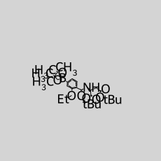 CCOc1cc(B2OC(C)(C)C(C)(C)O2)ccc1C(=O)NC(CC(=O)OC(C)(C)C)C(=O)OC(C)(C)C